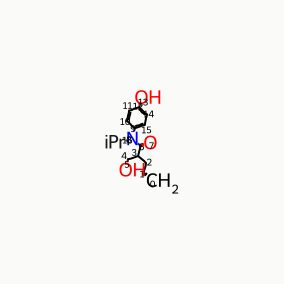 C=CCC(CO)C(=O)N(c1ccc(O)cc1)C(C)C